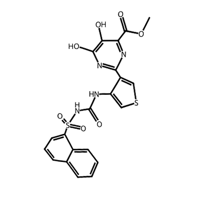 COC(=O)c1nc(-c2cscc2NC(=O)NS(=O)(=O)c2cccc3ccccc23)nc(O)c1O